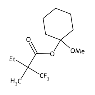 CCC(C)(C(=O)OC1(OC)CCCCC1)C(F)(F)F